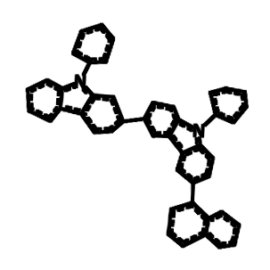 c1ccc(-n2c3ccc(-c4ccc5c6ccccc6n(-c6ccccc6)c5c4)cc3c3cc(-c4cccc5ccccc45)ccc32)cc1